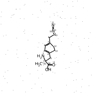 C[C@](N)(CC1=CC=C(CN=[N+]=[N-])CC1)C(=O)O